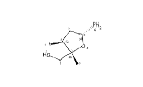 C[C@]1(CO)O[C@@H](P)C[C@@H]1I